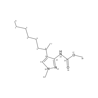 CCCCCCC(C)c1cn(C)nc1NC(=O)OC